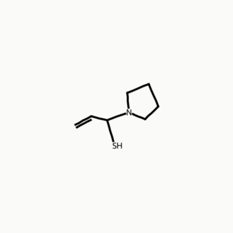 C=CC(S)N1CCCC1